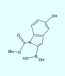 CC(C)(C)OC(=O)n1c(B(O)O)cc2cc(O)ccc21